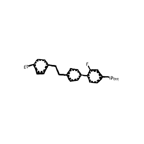 CCCCCc1ccc(-c2ccc(CCc3ccc(CC)cc3)cc2)c(F)c1